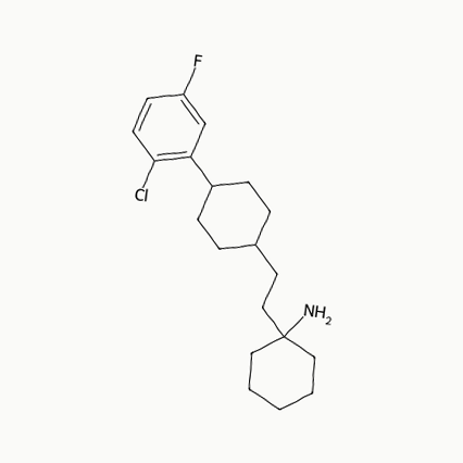 NC1(CCC2CCC(c3cc(F)ccc3Cl)CC2)CCCCC1